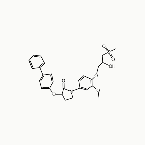 COc1cc(N2CCC(Oc3ccc(-c4ccccc4)cc3)C2=O)ccc1OCC(O)CS(C)(=O)=O